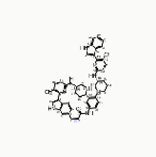 O=C(/C=C\c1ccc2c(-c3nc(N[C@@H]4CCCNC4)ncc3Cl)c[nH]c2c1)Nc1ccc(N2CCC[C@@H](Nc3ncc(Cl)c(-c4c[nH]c5ccccc45)n3)C2)cc1